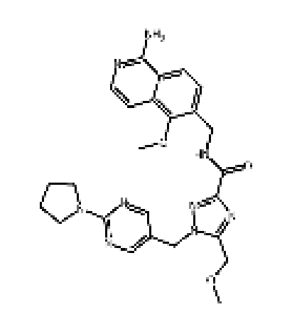 COCc1nc(C(=O)NCc2ccc3c(N)nccc3c2OC)nn1Cc1cnc(N2CCCC2)nc1